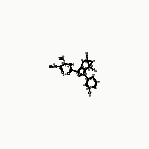 CNC(=O)[C@@H](NC(=O)c1nn(-c2c[n+]([O-])ccn2)c2c1C[C@@H]1C[C@H]21)C(C)(C)C